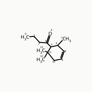 C[CH]CC(=O)C1C(C)C=CCC1(C)C